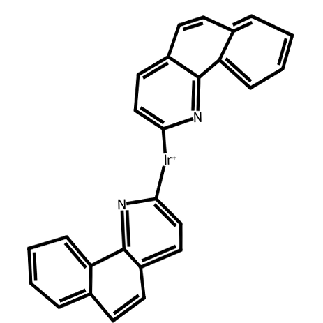 c1ccc2c(c1)ccc1cc[c]([Ir+][c]3ccc4ccc5ccccc5c4n3)nc12